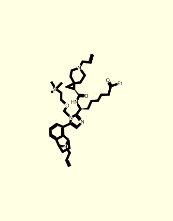 C=CCN1CCC2(CC1)C[C@@H]2C(=O)N[C@@H](CCCCCC(=O)CC)c1ncc(-c2cccc3c2C2CCC3N2CC=C)n1COCC[Si](C)(C)C